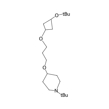 CC(C)(C)OC1CC(OCCCOC2CCN(C(C)(C)C)CC2)C1